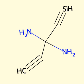 C#CC(N)(N)C#[SiH]